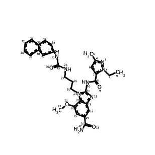 CCn1nc(C)cc1C(=O)Nc1nc2cc(C(N)=O)cc(OC)c2n1CCCNC(=O)Nc1ccc2ccccc2c1